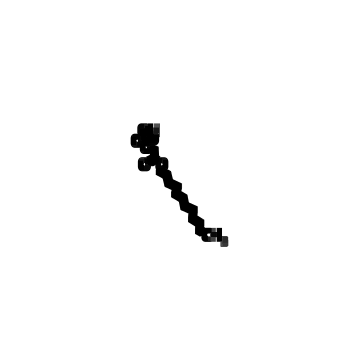 CCCCCCCCCCCCOC(=O)COS(=O)(=O)O